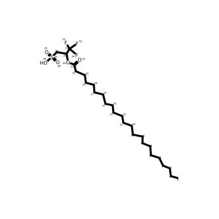 CCCCCCCCCCCCCCCCCCCCCCC(=O)OC(CS(=O)(=O)O)C(F)(F)F